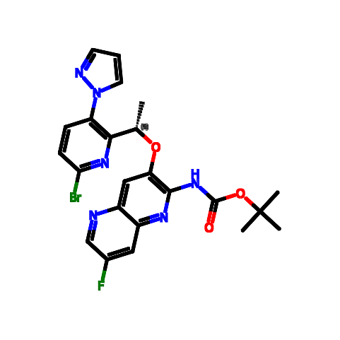 C[C@H](Oc1cc2ncc(F)cc2nc1NC(=O)OC(C)(C)C)c1nc(Br)ccc1-n1cccn1